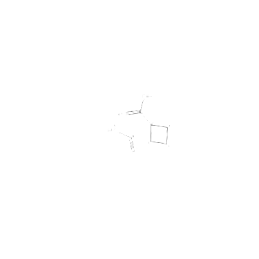 O=C(O)C1CCC1.O=CO